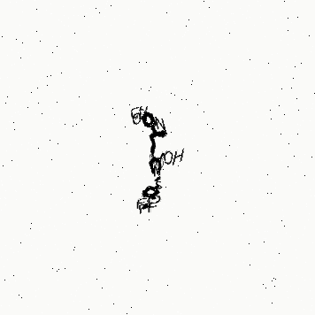 COc1ccc2nccc(CCC[C@@H]3CCN(CCSc4cccc(OC(F)(F)F)c4)C[C@@H]3CO)c2c1